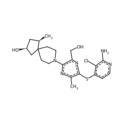 Cc1nc(N2CCC3(CC2)C[C@@H](O)C[C@H]3C)c(CO)nc1Sc1ccnc(N)c1Cl